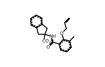 C=CCOc1c(C)cccc1C(=O)NC1(C(=O)O)Cc2ccccc2C1